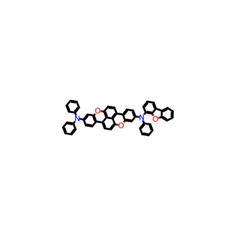 c1ccc(N(c2ccccc2)c2ccc3c(c2)Oc2ccc4c5c(ccc-3c25)Oc2cc(N(c3ccccc3)c3cccc5c3oc3ccccc35)ccc2-4)cc1